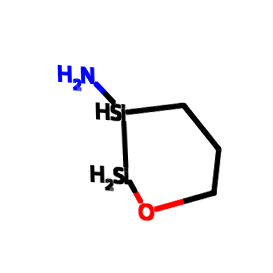 N[SiH]1CCCO[SiH2]1